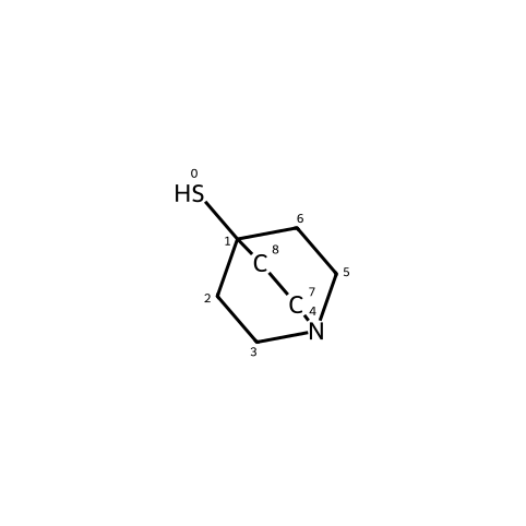 SC12CCN(CC1)CC2